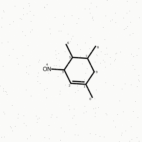 CC1=CC(N=O)C(C)C(C)C1